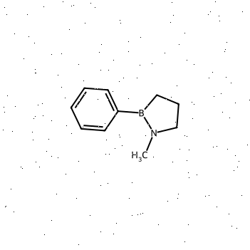 CN1CCCB1c1ccccc1